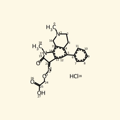 CN1CCc2c(-c3ccccc3)cc3c(c2C1)N(C)C(=O)C3=NOCC(=O)O.Cl